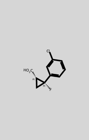 O=C(O)[C@H]1C[C@]1(F)c1cccc(Cl)c1